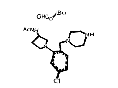 CC(=O)NC1CCN(c2cc(Cl)ccc2CN2CCNCC2)C1.CC(C)(C)OC=O